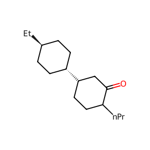 CCCC1CCC([C@H]2CC[C@H](CC)CC2)CC1=O